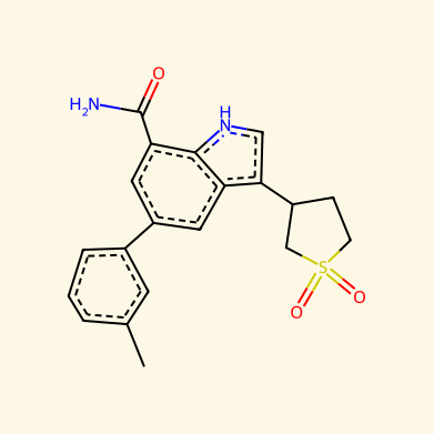 Cc1cccc(-c2cc(C(N)=O)c3[nH]cc(C4CCS(=O)(=O)C4)c3c2)c1